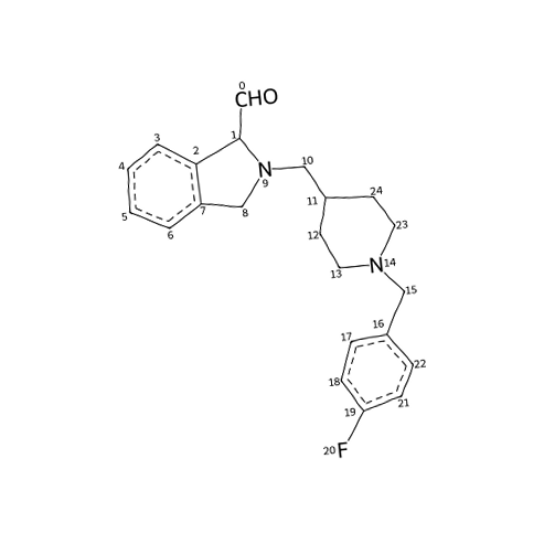 O=CC1c2ccccc2CN1CC1CCN(Cc2ccc(F)cc2)CC1